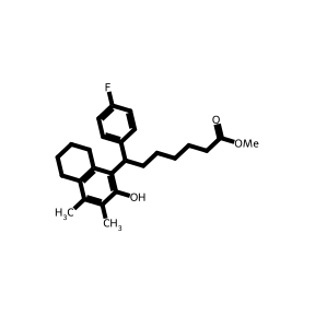 COC(=O)CCCCCC(c1ccc(F)cc1)c1c(O)c(C)c(C)c2c1CCCC2